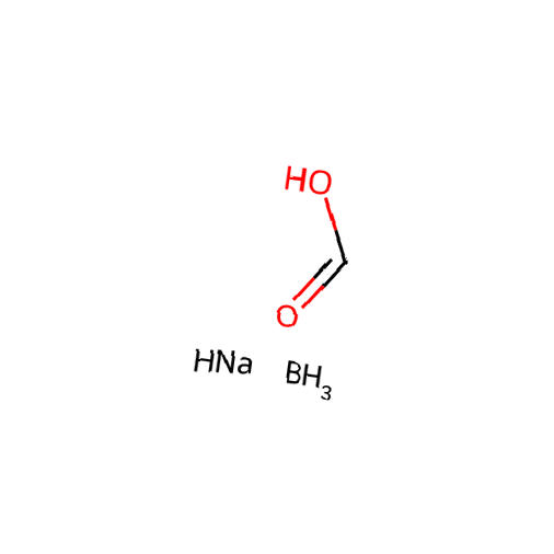 B.O=CO.[NaH]